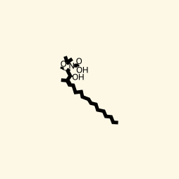 CCCCCCCCCCCCC/C=C(/C)[C@@H](O)[C@@H]1COC(C)(C)N1C(=O)O